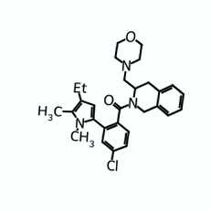 CCc1cc(-c2cc(Cl)ccc2C(=O)N2Cc3ccccc3CC2CN2CCOCC2)n(C)c1C